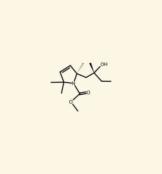 CC[C@@](C)(O)C[C@]1(C)C=CC(C)(C)N1C(=O)OC